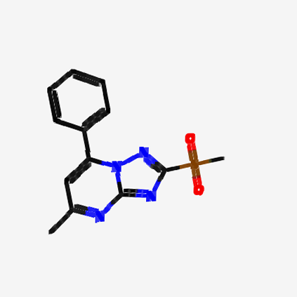 Cc1cc(-c2ccccc2)n2nc(S(C)(=O)=O)nc2n1